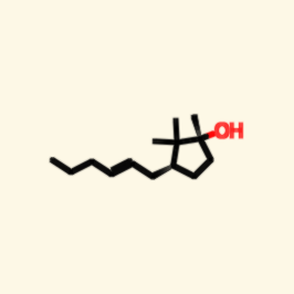 CCCC=CC[C@@H]1CC[C@@](C)(O)C1(C)C